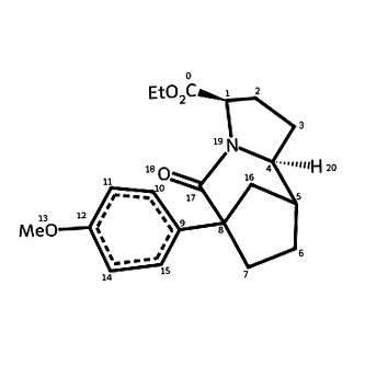 CCOC(=O)[C@H]1CC[C@H]2C3CCC(c4ccc(OC)cc4)(C3)C(=O)N12